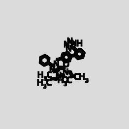 CC(C)Cn1c(=O)c2c(nc(C3CCCCC3)n2Cc2ccc(-c3ccccc3-c3nnn[nH]3)cc2)n(CC(C)C)c1=O